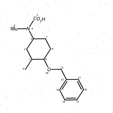 CC1CC(N(C(=O)O)C(C)(C)C)CCC1OCc1ccccc1